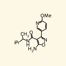 COc1ccc(-c2noc(N)c2C(=O)NC(C)C(C)C)cn1